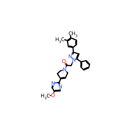 COc1cnc(C2=CCN(C(=O)Cn3nc(-c4ccc(C)c(C)c4)cc3-c3ccccc3)CC2)nc1